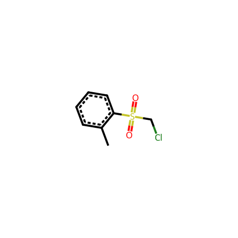 Cc1ccccc1S(=O)(=O)CCl